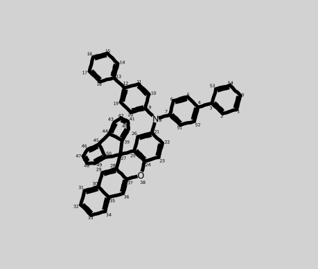 c1ccc(-c2ccc(N(c3ccc(-c4ccccc4)cc3)c3ccc4c(c3)C3(c5cc6ccccc6cc5O4)c4ccccc4-c4ccccc43)cc2)cc1